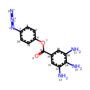 [N-]=[N+]=Nc1ccc(OC(=O)c2cc(N)c(N)c(N)c2)cc1